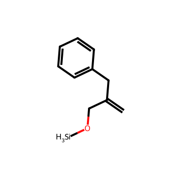 C=C(CO[SiH3])Cc1ccccc1